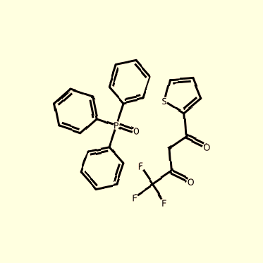 O=C(CC(=O)C(F)(F)F)c1cccs1.O=P(c1ccccc1)(c1ccccc1)c1ccccc1